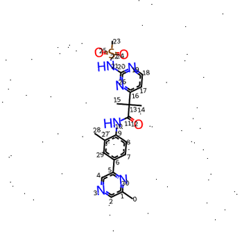 Cc1cncc(-c2ccc(NC(=O)C(C)(C)c3ccnc(NS(C)(=O)=O)n3)c(C)c2)n1